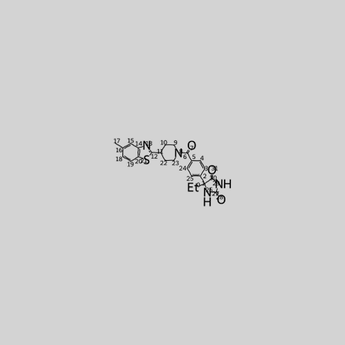 CCC1(c2ccc(C(=O)N3CCC(c4nc5cc(C)ccc5s4)CC3)cc2)NC(=O)NC1=O